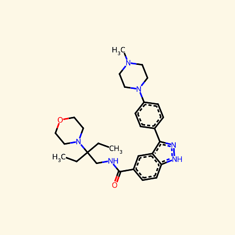 CCC(CC)(CNC(=O)c1ccc2[nH]nc(-c3ccc(N4CCN(C)CC4)cc3)c2c1)N1CCOCC1